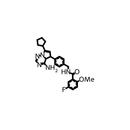 COc1ccc(F)cc1C(=O)NCc1ccc(C2C=C(C3CCCC3)N3N=CN=C(N)C23)cc1